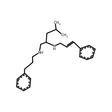 CC(C)CC(CNCCCc1ccccc1)NC/C=C/c1ccccc1